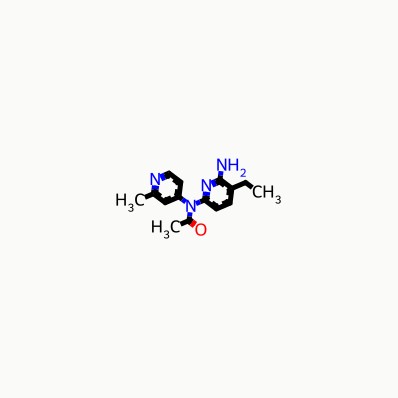 CCc1ccc(N(C(C)=O)c2ccnc(C)c2)nc1N